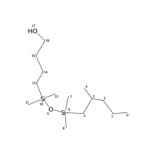 CCCC(C)C[Si](C)(C)O[Si](C)(C)CCCCO